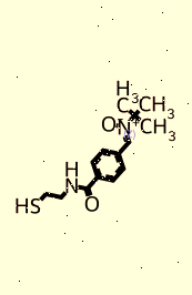 CC(C)(C)/[N+]([O-])=C/c1ccc(C(=O)NCCS)cc1